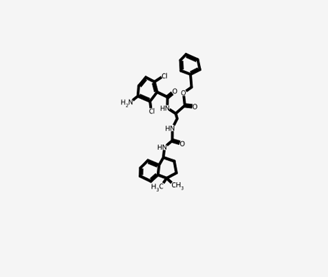 CC1(C)CCC(NC(=O)NCC(NC(=O)c2c(Cl)ccc(N)c2Cl)C(=O)OCc2ccccc2)c2ccccc21